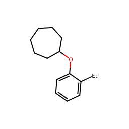 C[CH]c1ccccc1OC1CCCCCC1